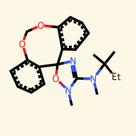 CCC(C)(C)N(C)C1=NC2(ON1C)c1ccccc1OCOc1ccccc12